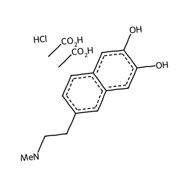 CC(=O)O.CC(=O)O.CNCCc1ccc2cc(O)c(O)cc2c1.Cl